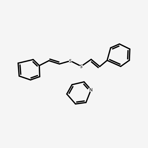 C(=Cc1ccccc1)SSC=Cc1ccccc1.c1ccncc1